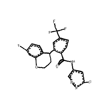 O=C(Nc1cnnc(Cl)c1)c1ccc(C(F)(F)F)cc1C1CCOc2cc(F)ccc21